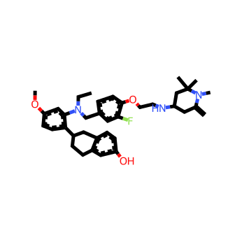 C=C1CC(NCCOc2ccc(CN(CC)c3cc(OC)ccc3C3CCc4cc(O)ccc4C3)cc2F)CC(C)(C)N1C